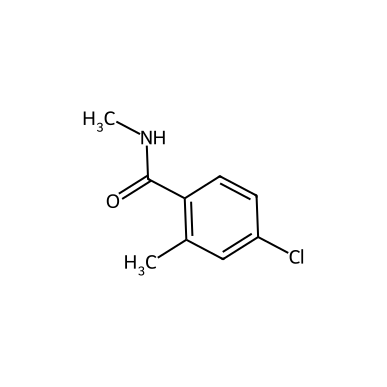 CNC(=O)c1ccc(Cl)cc1C